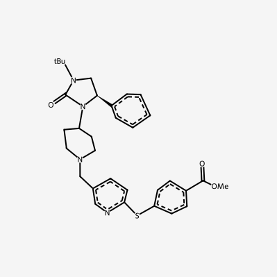 COC(=O)c1ccc(Sc2ccc(CN3CCC(N4C(=O)N(C(C)(C)C)C[C@H]4c4ccccc4)CC3)cn2)cc1